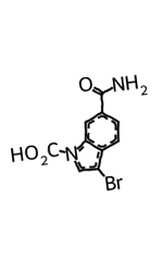 NC(=O)c1ccc2c(Br)cn(C(=O)O)c2c1